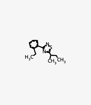 CCc1ccccc1-c1nsc(C(C)CC)n1